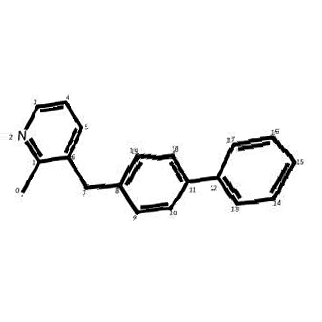 [CH2]c1ncccc1Cc1ccc(-c2ccccc2)cc1